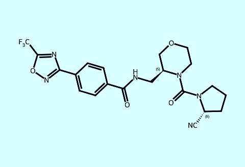 N#C[C@H]1CCCN1C(=O)N1CCOC[C@@H]1CNC(=O)c1ccc(-c2noc(C(F)(F)F)n2)cc1